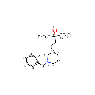 CCOC(=O)C(O)(CC[C@@H]1CCCN(Cc2ccccc2)C1)C(=O)OCC